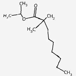 CCCCCCCC(C)(C)C(=O)OC(C)C